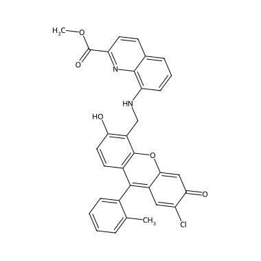 COC(=O)c1ccc2cccc(NCc3c(O)ccc4c(-c5ccccc5C)c5cc(Cl)c(=O)cc-5oc34)c2n1